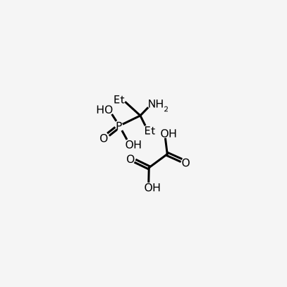 CCC(N)(CC)P(=O)(O)O.O=C(O)C(=O)O